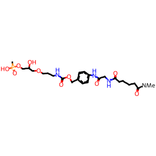 CNC(=O)CCCCC(=O)NCC(=O)Nc1ccc(COC(=O)NCCCOCC(O)COP(C)(=O)O)cc1